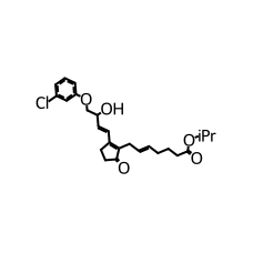 CC(C)OC(=O)CCCC=CCC1=C(C=CC(O)COc2cccc(Cl)c2)CCC1=O